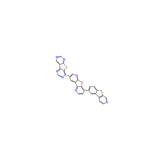 c1cc2c(cn1)sc1ccc(-c3ccnc4c3oc3ncc(-c5ncnc6c5sc5ncncc56)cc34)cc12